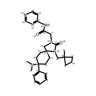 CN(C)[C@]1(c2ccccc2)CC[C@@]2(CC1)CN(CC(=O)Nc1ccncn1)C(=O)N2CC1(C)CCC1